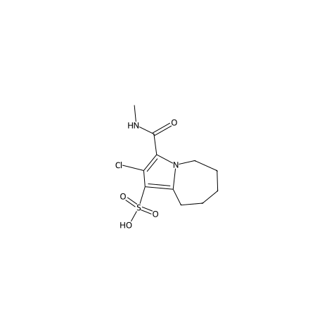 CNC(=O)c1c(Cl)c(S(=O)(=O)O)c2n1CCCCC2